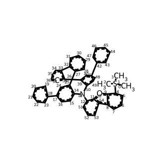 CS(C)(C)c1cccc2c1oc1c(N3c4ccc(-c5ccccc5)cc4C4(c5ccccc5-c5ccccc54)c4cc(-c5ccccc5)ccc43)cccc12